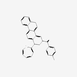 Cc1ccc(C(=O)C2C=c3c(ccc4c3=CCc3ccccc3-4)C(C3=CC=CC=CN3)C2)cc1